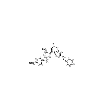 CC(C)C[C@H](NC(=O)OCc1ccncc1)C(=O)NC1CN(C(=O)c2ccc(C#N)cc2)CC1O